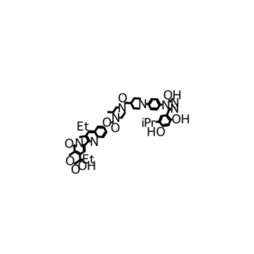 CCc1c2c(nc3ccc(OC(=O)N4CCN(C(=O)C5CCN(c6ccc(-n7c(O)nnc7-c7cc(C(C)C)c(O)cc7O)cc6)CC5)CC4C)cc13)-c1cc3c(c(=O)n1C2)COC(=O)C3(O)CC